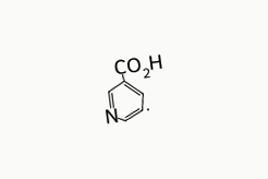 O=C(O)c1c[c]cnc1